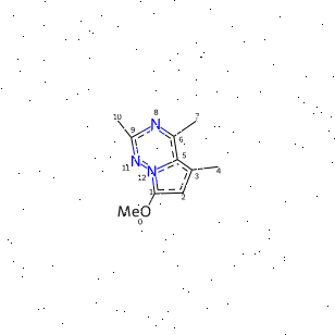 COc1cc(C)c2c(C)nc(C)nn12